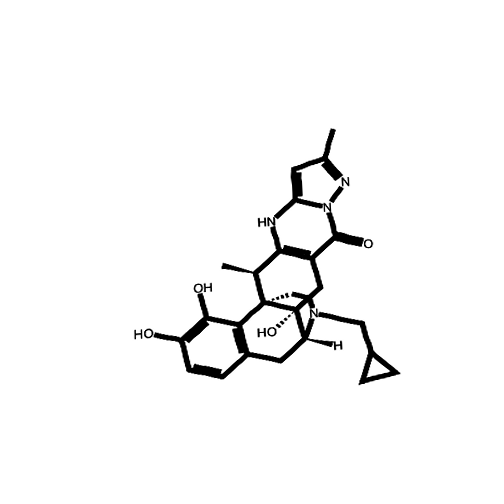 Cc1cc2[nH]c3c(c(=O)n2n1)C[C@@]1(O)[C@H]2Cc4ccc(O)c(O)c4[C@@]1(CCN2CC1CC1)[C@H]3C